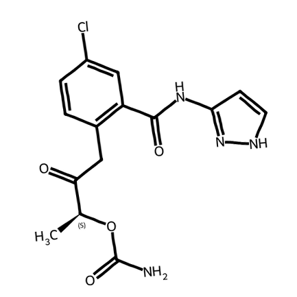 C[C@H](OC(N)=O)C(=O)Cc1ccc(Cl)cc1C(=O)Nc1cc[nH]n1